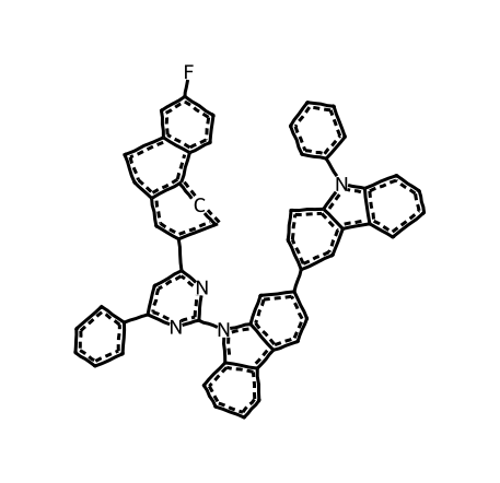 Fc1ccc2c(ccc3cc(-c4cc(-c5ccccc5)nc(-n5c6ccccc6c6ccc(-c7ccc8c(c7)c7ccccc7n8-c7ccccc7)cc65)n4)ccc32)c1